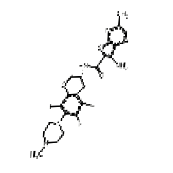 Cc1ccc2c(N)c(C(=O)N[C@H]3COc4c(F)c(N5CCN(C)CC5)c(F)c(F)c4C3)sc2n1